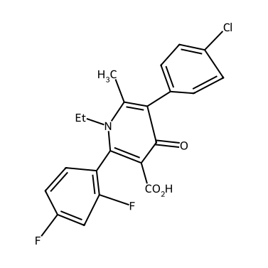 CCn1c(C)c(-c2ccc(Cl)cc2)c(=O)c(C(=O)O)c1-c1ccc(F)cc1F